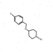 CC(=O)N1CCC(OCc2ccc(F)cc2)CC1